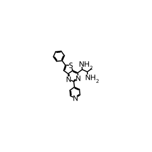 CC(N)C(N)c1nc(-c2ccncc2)nc2cc(-c3ccccc3)sc12